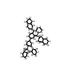 C1=CCC2C(=C1)C(c1ccc3ccccc3c1)=c1ccc(-c3ccc(-c4nc5ccccc5n4-c4ccccc4)cc3)cc1=C2c1ccc2ccccc2c1